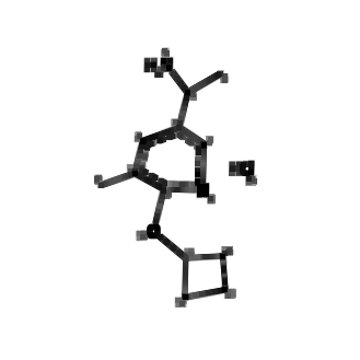 Cc1cc(C(C)N)cnc1OC1CCC1.Cl